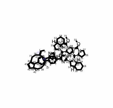 C/C=C1\C=C(\c2ccc(-c3c[nH]c([C@@H]4C[C@@H]5CCCC[C@@H]5N4C(=O)[C@@H]4CCCN4C(=O)OC)n3)cc2)[C@H](C)CC[C@]2(C)C=CC(=C2c2ccc(-c3c[nH]c([C@@H]4C[C@@H]5CCCC[C@@H]5N4C(=O)[C@@H]4CCCN4C(=O)OC)n3)cc2)CC1